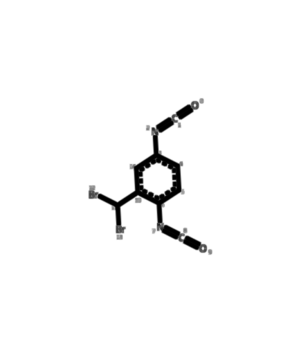 O=C=Nc1ccc(N=C=O)c(C(Br)Br)c1